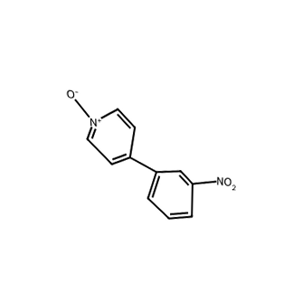 O=[N+]([O-])c1cccc(-c2cc[n+]([O-])cc2)c1